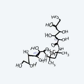 CC(C)(CC(C)(C)NC(=O)/C(O)=C(\O)C(O)C(O)CO)NC(=O)/C(O)=C(\O)C(O)C(O)CO